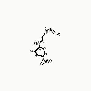 CCCCCCCCN[C@H]1CC[C@H](OC)CC1